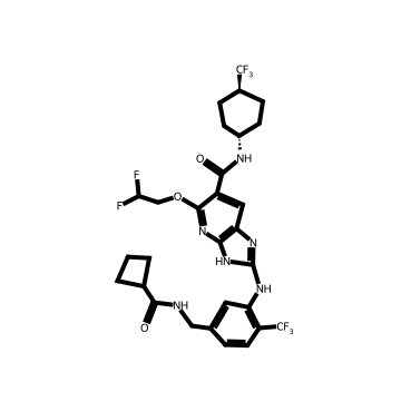 O=C(N[C@H]1CC[C@H](C(F)(F)F)CC1)c1cc2nc(Nc3cc(CNC(=O)C4CCC4)ccc3C(F)(F)F)[nH]c2nc1OCC(F)F